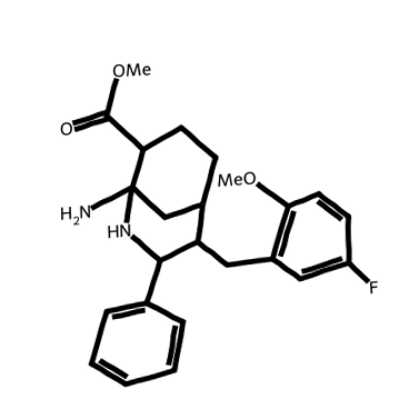 COC(=O)C1CCC2CC1(N)NC(c1ccccc1)C2Cc1cc(F)ccc1OC